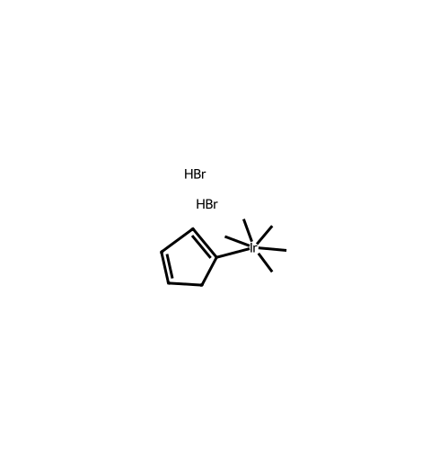 Br.Br.[CH3][Ir]([CH3])([CH3])([CH3])([CH3])[C]1=CC=CC1